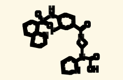 O=C(c1ccc(NS(=O)(=O)c2cccc3cccnc23)c(F)c1)N1CC(N(C(=O)O)c2ccccn2)C1